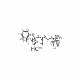 C=CC(N)(CNCCC[Si](OC)(OC)OC)Cc1ccccc1.Cl